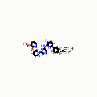 CCOc1cccnc1O[C@@H]1CCCN(c2cncc(Nc3nc(-c4cccc(OC(C)(C)C(=O)O)c4)ccc3F)n2)C1